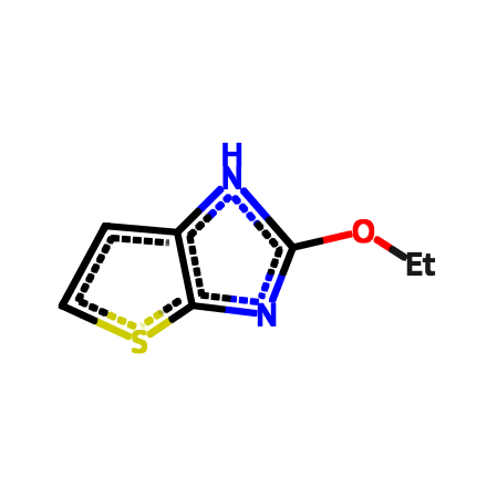 CCOc1nc2sccc2[nH]1